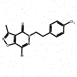 Cc1noc2c(Br)nn(CCc3ccc(C(F)(F)F)cc3)c(=O)c12